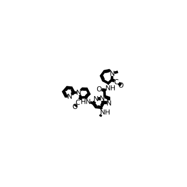 CNc1cc(NC2=CC=CN(c3ccccn3)C2=C=O)nn2c(C(=O)N[C@@H]3C=CC=CN(C)C3=C=O)cnc12